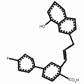 O=C(O)c1ccc(-c2ccc(F)cc2)cc1C=CCc1ccc2cccc(O)c2c1